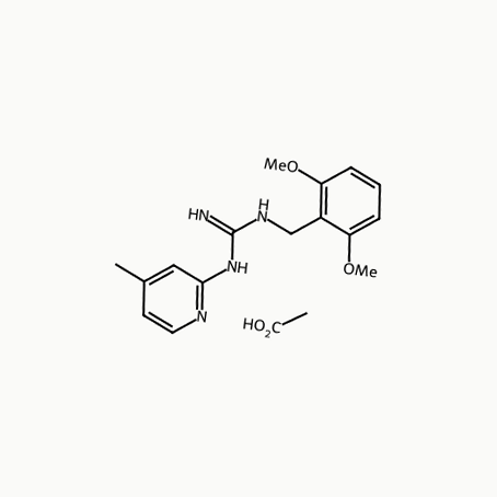 CC(=O)O.COc1cccc(OC)c1CNC(=N)Nc1cc(C)ccn1